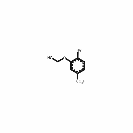 CC(C)c1ccc(C(=O)O)cc1OCC#N